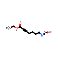 CCOC(=O)C#CCCCCN=C=O